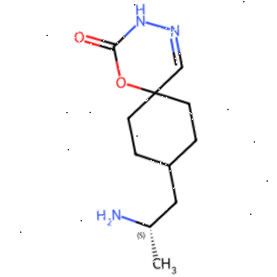 C[C@H](N)CC1CCC2(C=NNC(=O)O2)CC1